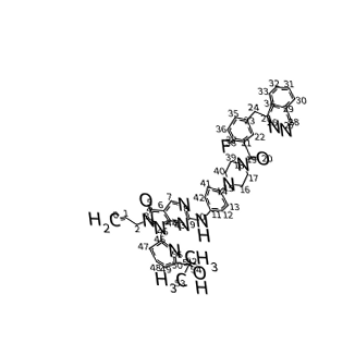 C=CCn1c(=O)c2cnc(Nc3ccc(N4CCN(C(=O)c5cc(Cc6nncc7ccccc67)ccc5F)CC4)cc3)nc2n1-c1cccc(C(C)(C)O)n1